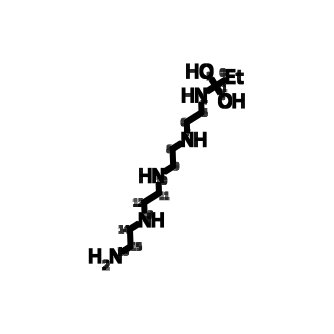 CCC(O)(O)NCCNCCNCCNCCN